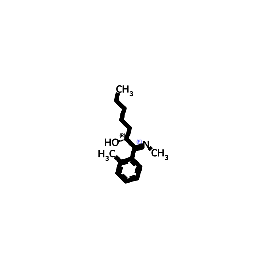 CCCCC[C@@H](O)/C(=N/C)c1ccccc1C